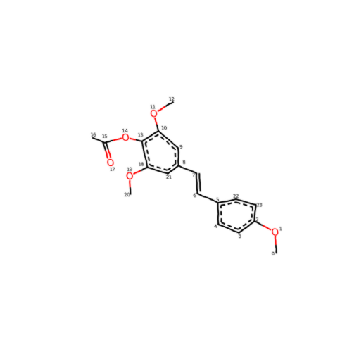 COc1ccc(C=Cc2cc(OC)c(OC(C)=O)c(OC)c2)cc1